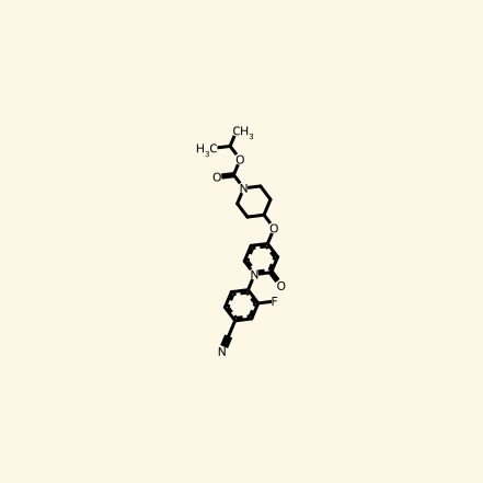 CC(C)OC(=O)N1CCC(Oc2ccn(-c3ccc(C#N)cc3F)c(=O)c2)CC1